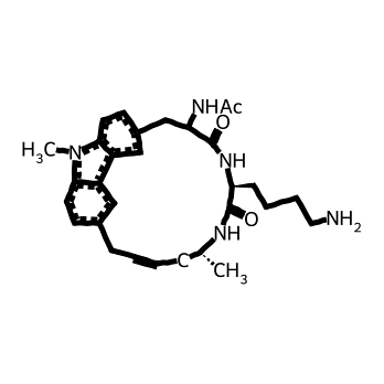 CC(=O)NC1Cc2ccc3c(c2)c2cc(ccc2n3C)CC=CC[C@@H](C)NC(=O)[C@H](CCCCN)NC1=O